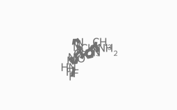 Cc1cc2cc(C(=O)N(Cc3ccc(NCC(F)(F)F)nn3)C(C)c3ncccn3)ccc2nc1N